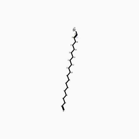 C=CCCCCCCCCCCCCCCCCC/C=C/Br